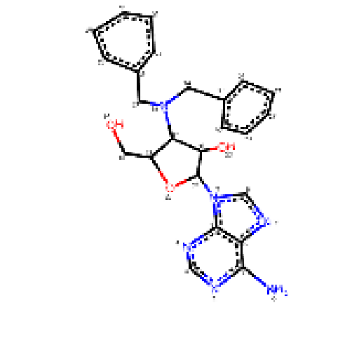 Nc1ncnc2c1ncn2C1OC(CO)C(N(Cc2ccccc2)Cc2ccccc2)C1O